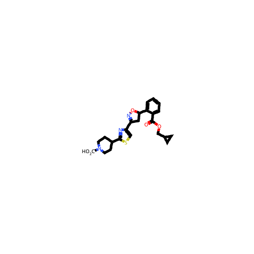 O=C(OCC1CC1)c1ccccc1C1CC(c2csc(C3CCN(C(=O)O)CC3)n2)=NO1